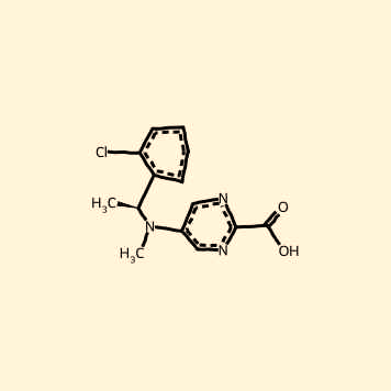 C[C@@H](c1ccccc1Cl)N(C)c1cnc(C(=O)O)nc1